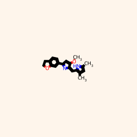 COC1=CC(c2ccc3c(c2)OCC3)=N/C1=C/c1[nH]c(C)cc1C